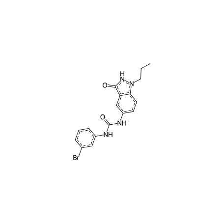 CCCn1[nH]c(=O)c2cc(NC(=O)Nc3cccc(Br)c3)ccc21